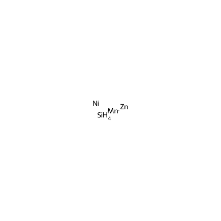 [Mn].[Ni].[SiH4].[Zn]